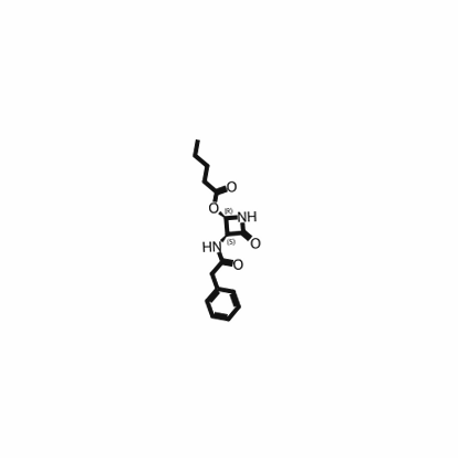 CCCCC(=O)O[C@H]1NC(=O)[C@H]1NC(=O)Cc1ccccc1